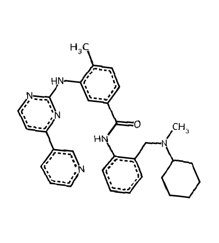 Cc1ccc(C(=O)Nc2ccccc2CN(C)C2CCCCC2)cc1Nc1nccc(-c2cccnc2)n1